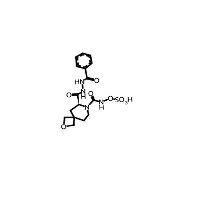 O=C(NNC(=O)[C@@H]1CC2(CCN1C(=O)NOS(=O)(=O)O)COC2)c1ccccc1